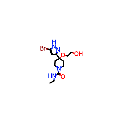 CCNC(=O)N1CCC(OCCO)(c2cc(Br)[nH]n2)CC1